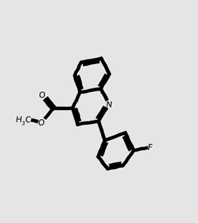 COC(=O)c1cc(-c2cccc(F)c2)nc2ccccc12